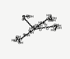 C[C@@H](O)C(CO)OC(OCCCCC(=O)NCCCNC(=O)CCOC(COCCC(=O)NCCCNC(=O)CCCCOC1OC(CO)C(O)C(O)C1O)(NC(=O)CCCCCCCCCCC(=O)N1CCC[C@H]1COP(C)(=O)O)OCCC(=O)NCCCNC(=O)CCCCOC1OC(CO)C(O)C(O)C1O)[C@@H](O)CO